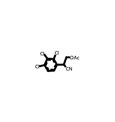 CC(=O)OCC(C#N)c1ccc(Cl)c(Cl)c1Cl